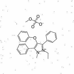 CC[n+]1c(-c2ccccc2)c(Oc2ccccc2)c(-c2ccccc2)n1C.COS(=O)(=O)[O-]